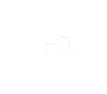 CCCCCCCCC(CCCCC)c1cc(CC)on1